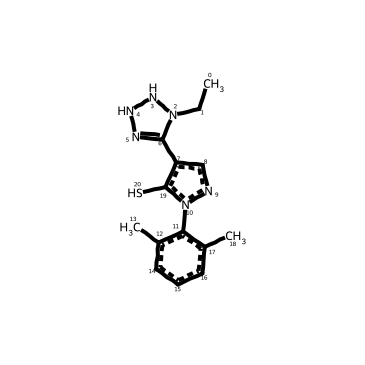 CCN1NNN=C1c1cnn(-c2c(C)cccc2C)c1S